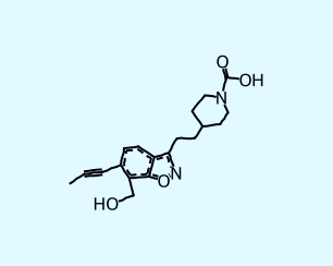 CC#Cc1ccc2c(CCC3CCN(C(=O)O)CC3)noc2c1CO